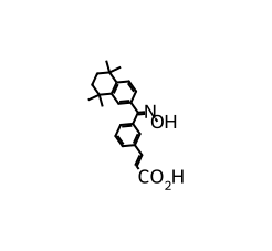 CC1(C)CCC(C)(C)c2cc(C(=NO)c3cccc(C=CC(=O)O)c3)ccc21